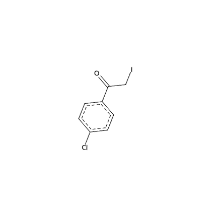 O=C(CI)c1ccc(Cl)cc1